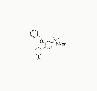 CCCCCCCCCC(C)(C)c1ccc(C2CCCC(=O)C2)c(OCc2ccccc2)c1